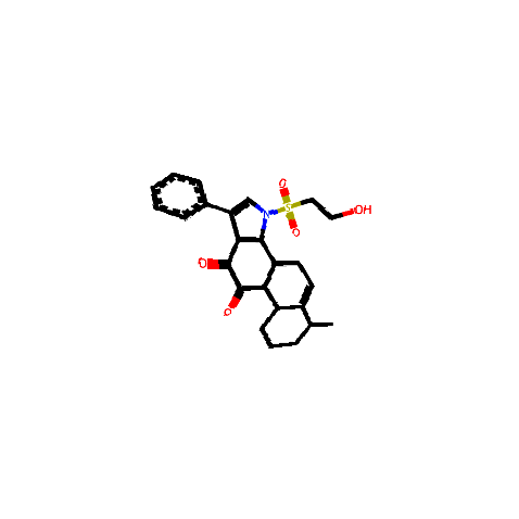 CC1CCCC2C1=CCC1C2C(=O)C(=O)C2C(c3ccccc3)=CN(S(=O)(=O)CCO)C21